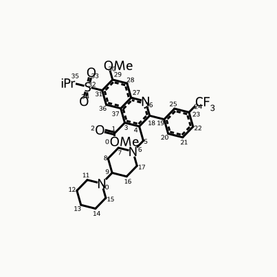 COC(=O)c1c(CN2CCC(N3CCCCC3)CC2)c(-c2cccc(C(F)(F)F)c2)nc2cc(OC)c(S(=O)(=O)C(C)C)cc12